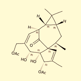 CC(=O)OCC1=C[C@@H]2C(=O)[C@]3(C=C(C)[C@H](OC(C)=O)[C@@]3(O)[C@@H]1O)[C@H](C)C[C@@H]1[C@H]2C1(C)C